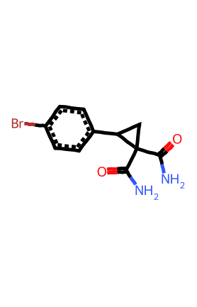 NC(=O)C1(C(N)=O)CC1c1ccc(Br)cc1